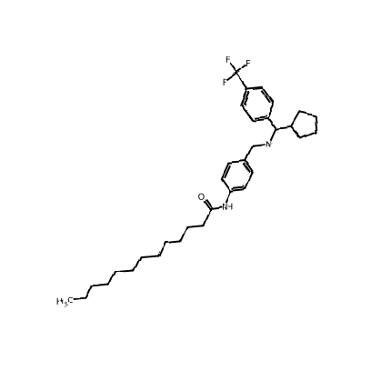 CCCCCCCCCCCCC(=O)Nc1ccc(C[N]C(c2ccc(C(F)(F)F)cc2)C2CCCC2)cc1